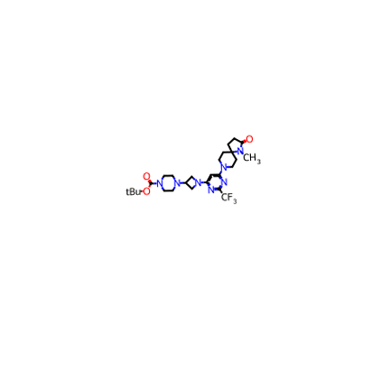 CN1C(=O)CCC12CCN(c1cc(N3CC(N4CCN(C(=O)OC(C)(C)C)CC4)C3)nc(C(F)(F)F)n1)CC2